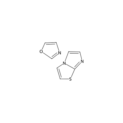 c1cn2ccsc2n1.c1cocn1